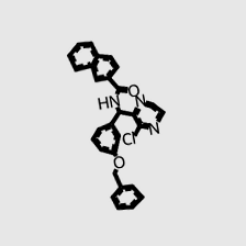 O=C(NC(c1cccc(OCc2ccccc2)c1)c1nccnc1Cl)c1ccc2ccccc2c1